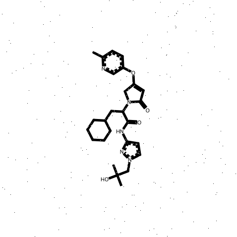 Cc1ccc(OC2=CC(=O)N(C(CC3CCCCC3)C(=O)Nc3ccn(CC(C)(C)O)n3)C2)cn1